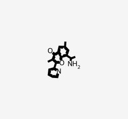 Cc1cc(C(C)N)c2oc(-c3ccccn3)c(C)c(=O)c2c1